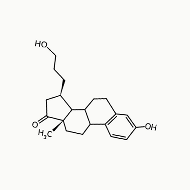 C[C@]12CCC3c4ccc(O)cc4CCC3C1[C@H](CCCO)CC2=O